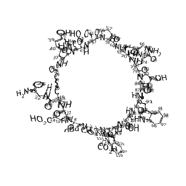 CCCC[C@H]1C(=O)N(C)[C@@H](CCCC)C(=O)N[C@@H](CCC(=O)O)C(=O)N[C@H](C(=O)NCC(N)=O)CSCC(=O)N[C@@H](Cc2ccc(O)cc2)C(=O)N(C)[C@@H](C)C(=O)N[C@@H](CC(=O)O)C(=O)N2CCC[C@H]2C(=O)N[C@@H](Cc2cnc[nH]2)C(=O)N[C@@H](CCC(N)=O)C(=O)N2C[C@H](O)C[C@H]2C(=O)N[C@@H](Cc2c[nH]c3ccccc23)C(=O)N[C@@H](CO)C(=O)N[C@@H](Cc2cn(CC(=O)O)c3ccccc23)C(=O)N1C